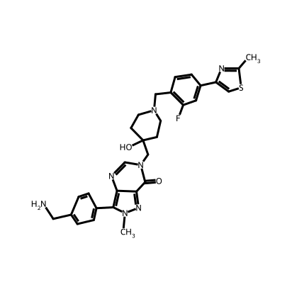 Cc1nc(-c2ccc(CN3CCC(O)(Cn4cnc5c(-c6ccc(CN)cc6)n(C)nc5c4=O)CC3)c(F)c2)cs1